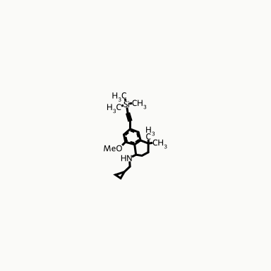 COc1cc(C#C[Si](C)(C)C)cc2c1C(NCC1CC1)CCC2(C)C